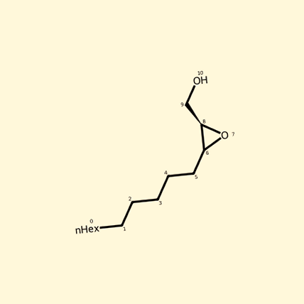 CCCCCCCCCCCC1O[C@@H]1CO